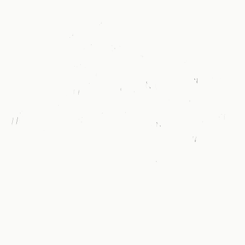 CCCSc1nc(Cl)c([N+](=O)[O-])c(N[C@@H]2CC(OCCO)[C@H]3OC(C)(C)O[C@H]32)n1